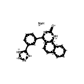 O=c1nc(-c2cccc(-c3nnn[nH]3)c2)c2ccc3ccccc3c2[nH]1.[NaH]